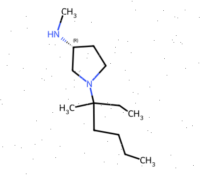 CCCCC(C)(CC)N1CC[C@@H](NC)C1